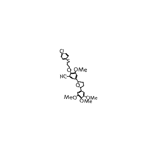 COc1cc(C2CCC(c3cc(OC)c(OC)c(OC)c3)O2)cc(C#N)c1OCCSc1ccc(Cl)cc1